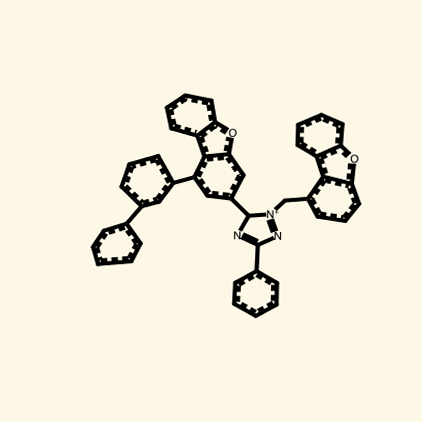 c1ccc(C2=NC(c3cc(-c4cccc(-c5ccccc5)c4)c4c(c3)oc3ccccc34)[N+](Cc3cccc4oc5ccccc5c34)=N2)cc1